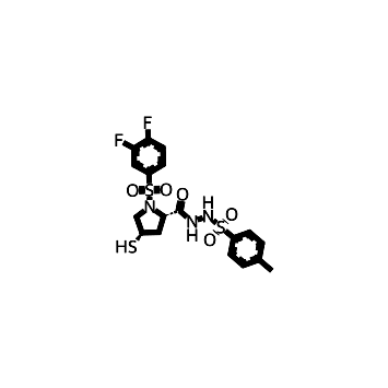 Cc1ccc(S(=O)(=O)NNC(=O)[C@@H]2C[C@@H](S)CN2S(=O)(=O)c2ccc(F)c(F)c2)cc1